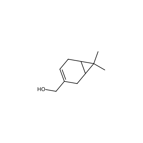 CC1(C)C2CC=C(CO)CC21